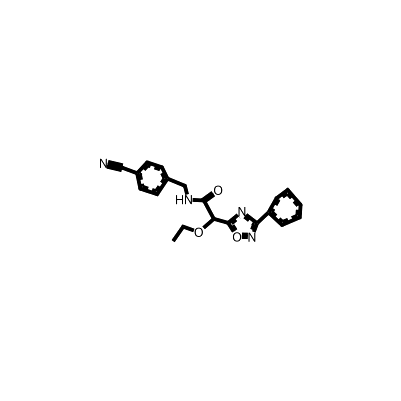 CCOC(C(=O)NCc1ccc(C#N)cc1)c1nc(-c2ccccc2)no1